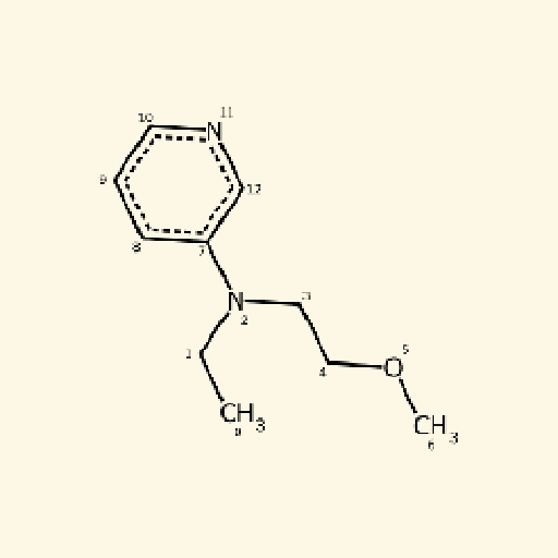 CCN(CCOC)c1cccnc1